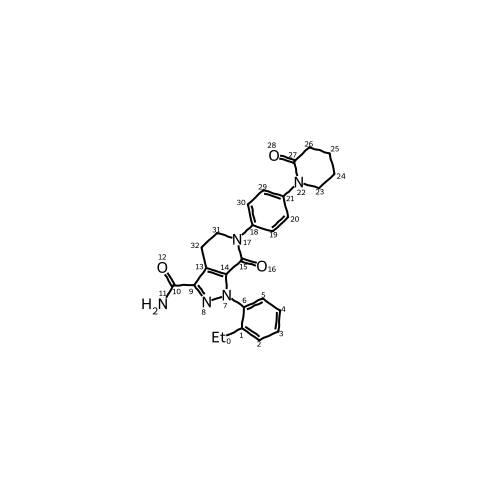 CCc1ccccc1-n1nc(C(N)=O)c2c1C(=O)N(c1ccc(N3CCCCC3=O)cc1)CC2